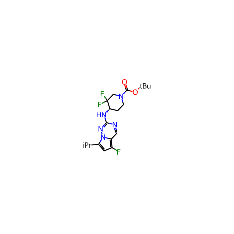 CC(C)c1cc(F)c2cnc(N[C@@H]3CCN(C(=O)OC(C)(C)C)CC3(F)F)nn12